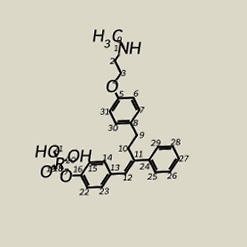 CNCCOc1ccc(CC/C(=C\c2ccc(OP(=O)(O)O)cc2)c2ccccc2)cc1